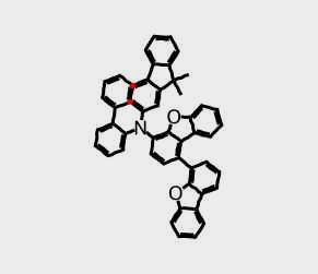 CC1(C)c2ccccc2-c2ccc(N(c3ccccc3-c3ccccc3)c3ccc(-c4cccc5c4oc4ccccc45)c4c3oc3ccccc34)cc21